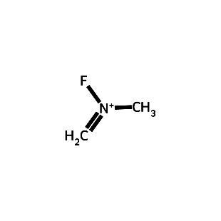 C=[N+](C)F